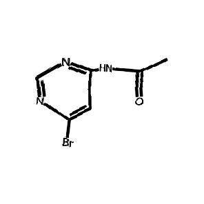 CC(=O)Nc1cc(Br)ncn1